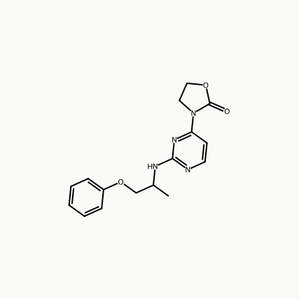 CC(COc1ccccc1)Nc1nccc(N2CCOC2=O)n1